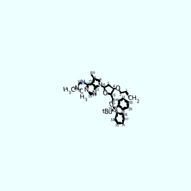 C=CCOC1CC(n2cc(I)c3c(/N=C\N(C)C)ncnc32)OC1CO[Si](c1ccccc1)(c1ccccc1)C(C)(C)C